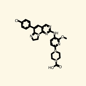 COc1nc(N2CCN(C(=O)O)CC2)ccc1Nc1ncc2c(n1)N1CCN=C1C(c1ccc(Cl)cc1)=C2